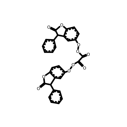 O=C(OOc1ccc2c(c1)C(c1ccccc1)C(=O)O2)C(=O)OOc1ccc2c(c1)C(c1ccccc1)C(=O)O2